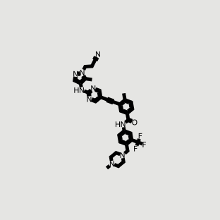 Cc1ccc(C(=O)Nc2ccc(CN3CCN(C)CC3)c(C(F)(F)F)c2)cc1C#Cc1cnc(Nc2cnn(CCC#N)c2C)nc1